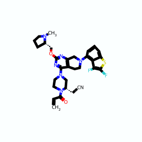 C=CC(=O)N1CCN(c2nc(OC[C@@H]3CCCN3C)nc3c2CCN(c2cccc4sc(F)c(F)c24)C3)C[C@@H]1CC#N